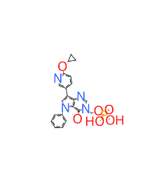 O=c1c2c(ncn1COP(=O)(O)O)c(-c1ccc(OC3CC3)nc1)cn2-c1ccccc1